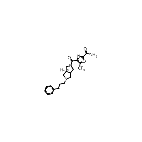 NC(=O)c1nc(C(=O)N2CC3CN(CC[CH]c4ccccc4)C[C@H]3C2)c(C(F)(F)F)o1